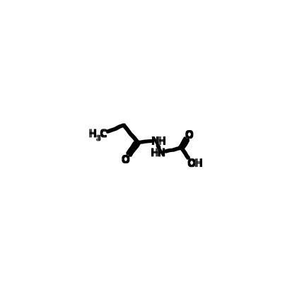 CCC(=O)NNC(=O)O